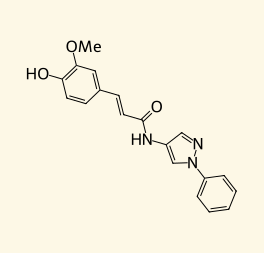 COc1cc(/C=C/C(=O)Nc2cnn(-c3ccccc3)c2)ccc1O